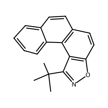 CC(C)(C)c1noc2ccc3ccc4ccccc4c3c12